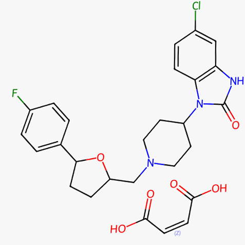 O=C(O)/C=C\C(=O)O.O=c1[nH]c2cc(Cl)ccc2n1C1CCN(CC2CCC(c3ccc(F)cc3)O2)CC1